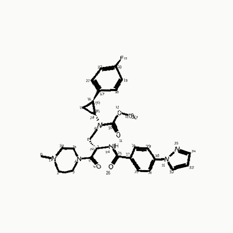 CN1CCN(C(=O)[C@H](CN(C(=O)OC(C)(C)C)[C@@H]2C[C@H]2c2ccc(F)cc2)NC(=O)c2ccc(-n3cccn3)cc2)CC1